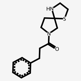 O=C(CCc1ccccc1)N1CCC2(C1)NCCS2